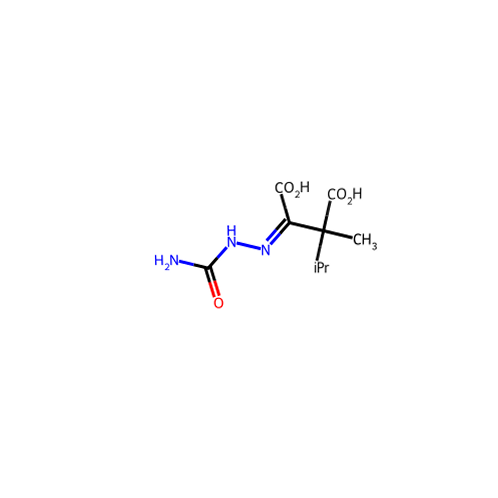 CC(C)C(C)(C(=O)O)C(=NNC(N)=O)C(=O)O